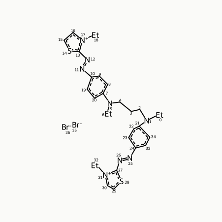 CCN(CCCN(CC)c1ccc(N=Nc2scc[n+]2CC)cc1)c1ccc(N=Nc2scc[n+]2CC)cc1.[Br-].[Br-]